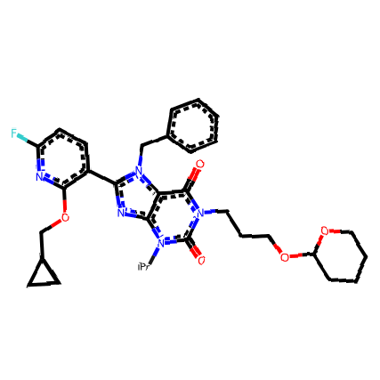 CC(C)n1c(=O)n(CCCOC2CCCCO2)c(=O)c2c1nc(-c1ccc(F)nc1OCC1CC1)n2Cc1ccccc1